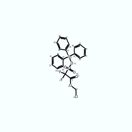 O=C(OCCl)C(F)(F)S(=O)(=O)OS(c1ccccc1)(c1ccccc1)c1ccccc1